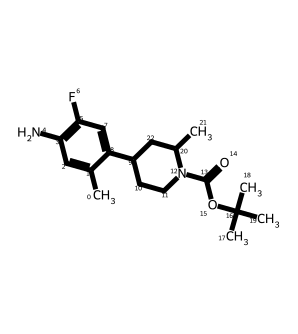 Cc1cc(N)c(F)cc1C1CCN(C(=O)OC(C)(C)C)C(C)C1